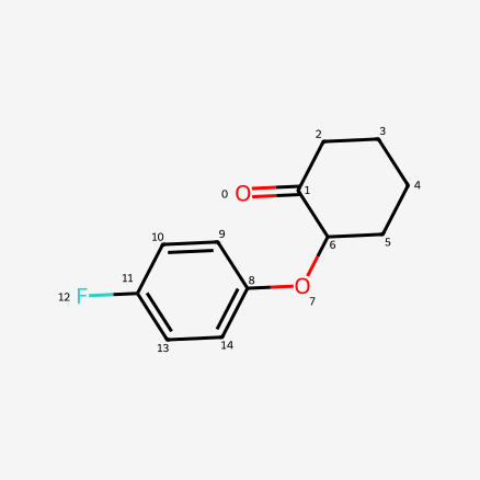 O=C1CCCCC1Oc1ccc(F)cc1